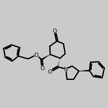 O=C1CC[C@H](C(=O)N2CC[C@H](c3ccccc3)C2)[C@@H](C(=O)OCc2ccccc2)C1